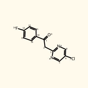 O=C(Cc1ncc(Cl)cn1)c1ccc(F)cc1